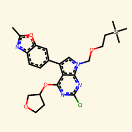 Cc1nc2ccc(-c3cn(COCC[Si](C)(C)C)c4nc(Cl)nc(OC5CCOC5)c34)cc2o1